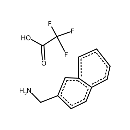 NCc1ccc2ccccc2c1.O=C(O)C(F)(F)F